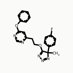 CC1(c2ccc(F)cc2)N=NN=C1OCCc1cc(Oc2ccccc2)ncn1